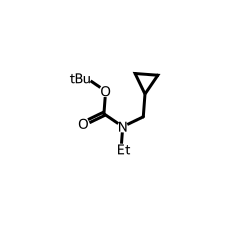 CCN(CC1CC1)C(=O)OC(C)(C)C